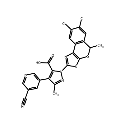 Cc1nn(-c2nc3c(s2)SC(C)c2cc(Cl)c(Cl)cc2-3)c(C(=O)O)c1-c1cncc(C#N)c1